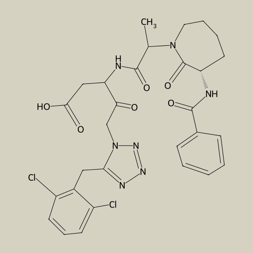 CC(C(=O)NC(CC(=O)O)C(=O)Cn1nnnc1Cc1c(Cl)cccc1Cl)N1CCCC[C@H](NC(=O)c2ccccc2)C1=O